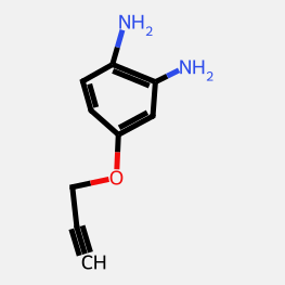 C#CCOc1ccc(N)c(N)c1